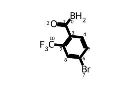 BC(=O)c1ccc(Br)cc1C(F)(F)F